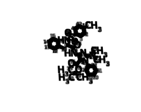 Cc1ccc(S(=O)(=O)N[C@@H](Cc2ccccc2)C(=O)Nc2nc(N(C)C)n(-c3ccccc3)c2C(=O)OC(C)(C)C)cc1